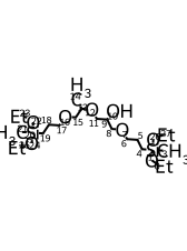 CCO[Si](C)(CCCOCC(O)COC(C)COCCC[Si](C)(OCC)OCC)OCC